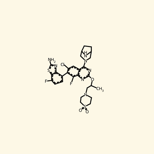 CC(CN1CCS(=O)(=O)CC1)Oc1nc(N2CC3CCC(C2)N3)c2cc(Cl)c(-c3ccc(F)c4sc(N)nc34)c(F)c2n1